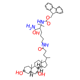 CC(CCC(=O)NCCCCC(C(N)O)C(C)(C)NC(=O)OCC1c2ccccc2-c2ccccc21)C1CC[C@H]2[C@H]3C(CCC12C)C1(C)CC[C@@H](O)C[C@@H]1C[C@@H]3O